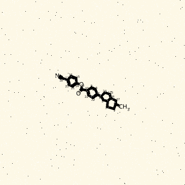 CC1CCC2CC(c3ccc(C(=O)Oc4ccc(C#N)cc4)cc3)CCC2C1